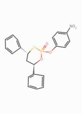 O=[N+]([O-])c1ccc(OP2(=O)O[C@@H](c3ccccc3)C[C@H](c3ccccc3)S2)cc1